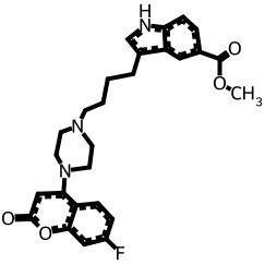 COC(=O)c1ccc2[nH]cc(CCCCN3CCN(c4cc(=O)oc5cc(F)ccc45)CC3)c2c1